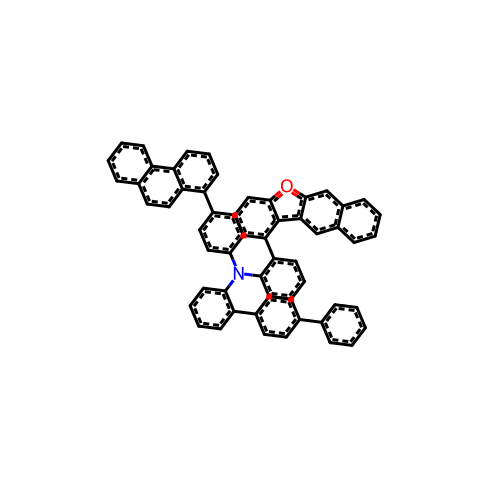 c1ccc(-c2ccc(-c3ccccc3N(c3ccc(-c4cccc5c4ccc4ccccc45)cc3)c3ccccc3-c3cccc4oc5cc6ccccc6cc5c34)cc2)cc1